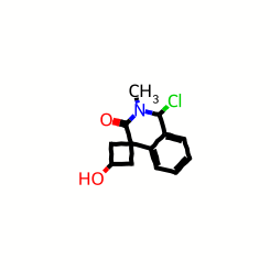 CN1C(=O)C2(CC(O)C2)c2ccccc2C1Cl